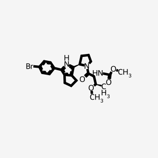 COC(=O)N[C@H](C(=O)N1CCC[C@@H]1c1[nH]c(-c2ccc(Br)cc2)c2c1CCC2)[C@@H](C)OC